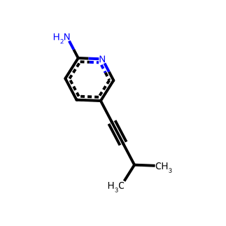 CC(C)C#Cc1ccc(N)nc1